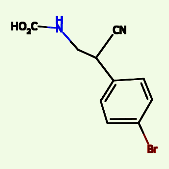 N#CC(CNC(=O)O)c1ccc(Br)cc1